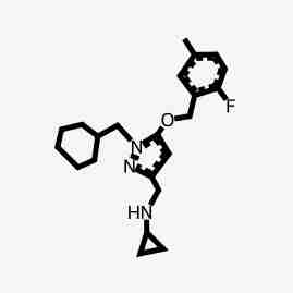 Cc1ccc(F)c(COc2cc(CNC3CC3)nn2CC2CCCCC2)c1